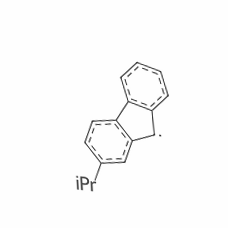 CC(C)c1ccc2c(c1)[CH]c1ccccc1-2